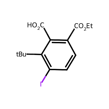 CCOC(=O)c1ccc(I)c(C(C)(C)C)c1C(=O)O